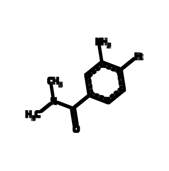 CCc1ccc(C(=O)N(C)C)cc1N